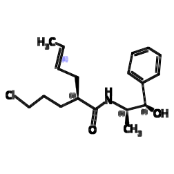 C/C=C/C[C@H](CCCCl)C(=O)N[C@H](C)[C@H](O)c1ccccc1